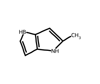 Cc1cc2c([nH]1)C=CB2